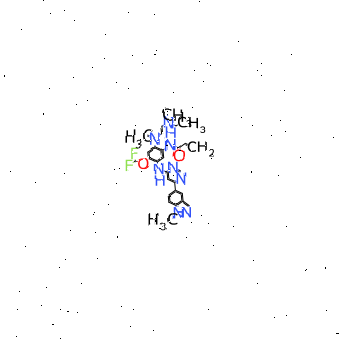 C=CC(=O)Nc1cc(Nc2cc(-c3ccc4c(cnn4C)c3)ncn2)c(OC(F)F)cc1N(C)CCN(C)CC